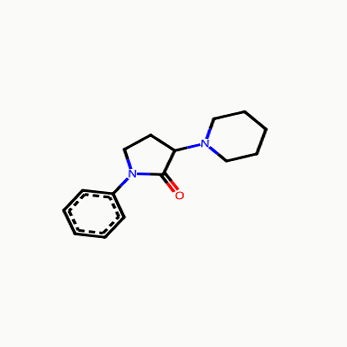 O=C1C(N2CCCCC2)CCN1c1ccccc1